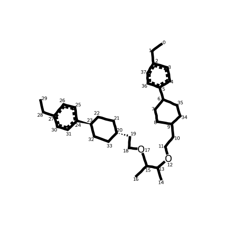 CCc1ccc(C2CCC(CCOC(C)C(C)OCC[C@H]3CC[C@H](c4ccc(CC)cc4)CC3)CC2)cc1